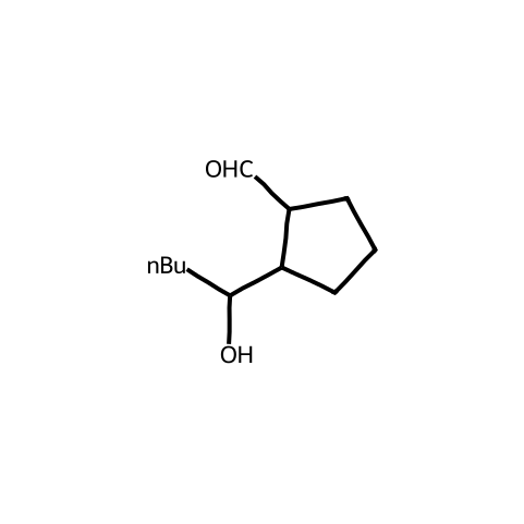 CCCCC(O)C1CCCC1C=O